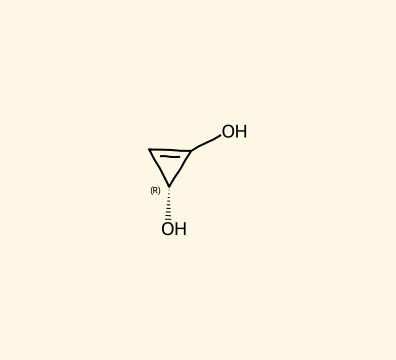 OC1=C[C@H]1O